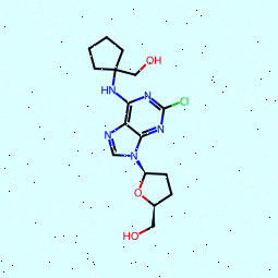 OC[C@@H]1CC[C@H](n2cnc3c(NC4(CO)CCCC4)nc(Cl)nc32)O1